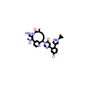 CN/C1=C(\C=N)NC(=O)C(C)CCCC(n2cnc(-c3cc(Cl)ccc3-c3cnn(C4CC4)c3)cc2=O)c2cc1ccn2